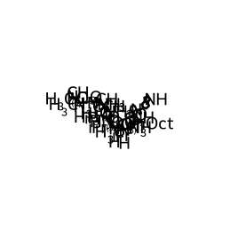 CCCCCCCC[C@H](NC(=O)[C@@H]1CCCN1C(=O)c1ccc2[nH]ccc2c1)C(=O)N[C@@H](CC(C)C)C(=O)NC(C)(C)C(=O)N[C@@H](CC(C)C)C(=O)N[C@@H](CC(C)C)C(=O)NC(C)(C)C(=O)NC(C)(C)C(=O)NCCC(=O)N[C@@H](C)CN(C)C